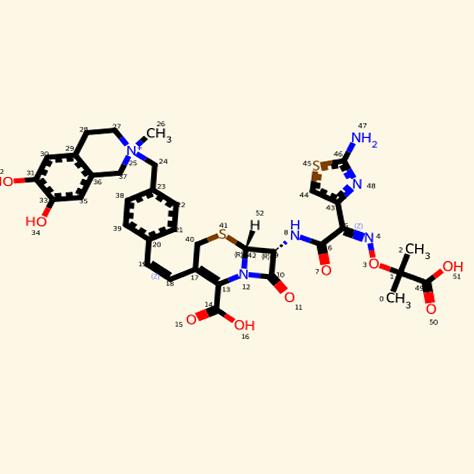 CC(C)(O/N=C(\C(=O)N[C@@H]1C(=O)N2C(C(=O)O)=C(/C=C\c3ccc(C[N+]4(C)CCc5cc(O)c(O)cc5C4)cc3)CS[C@H]12)c1csc(N)n1)C(=O)O